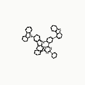 c1ccc(-c2nc(-c3ccccc3)nc(-c3cc(-c4cccc5sc6ccccc6c45)ccc3-n3c4ccccc4c4cc(-n5c6ccccc6c6ccccc65)ccc43)n2)cc1